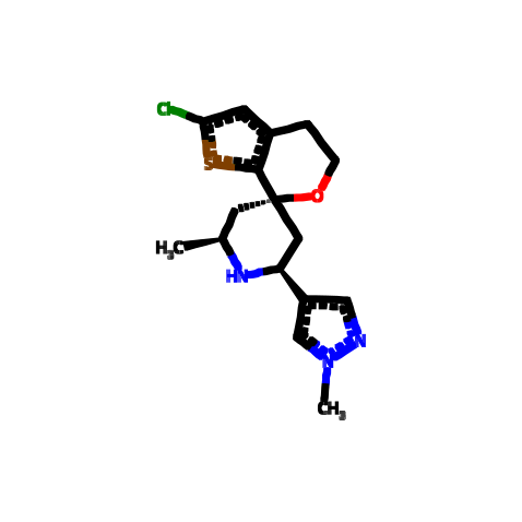 C[C@H]1C[C@@]2(C[C@@H](c3cnn(C)c3)N1)OCCc1cc(Cl)sc12